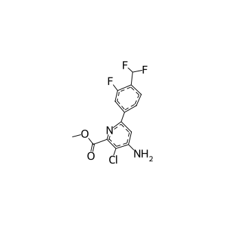 COC(=O)c1nc(-c2ccc(C(F)F)c(F)c2)cc(N)c1Cl